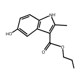 CCCOC(=O)c1c(C)[nH]c2ccc(O)cc12